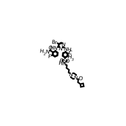 Cc1cc(S(=O)(=O)NCCCCN2CCN(C(=O)CC3CCC3)CC2)ccc1Nc1ncc(Br)c(Nc2cccc(F)c2C(N)=O)n1